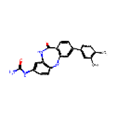 COc1cc(-c2ccc3c(c2)Nc2ccc(NC(N)=O)cc2NC3=O)ccc1[N+](=O)[O-]